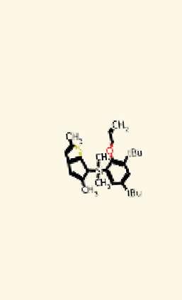 C=CCOc1c(C(C)(C)C)cc(C(C)(C)C)cc1[Si](C)(C)C1C(C)=Cc2cc(C)sc21